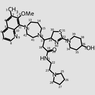 COc1c(C)cc2cccnc2c1N1CCCN(C(CC(=O)NCCN2CCCC2)C2CSC(N3CCC(O)CC3)=N2)CC1